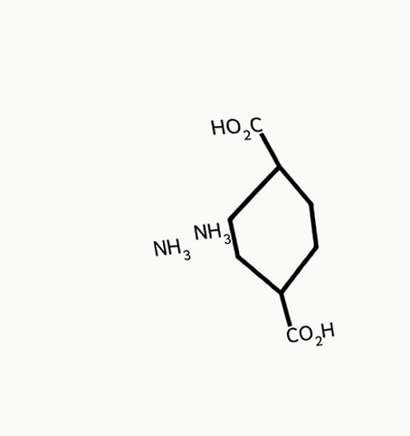 N.N.O=C(O)C1CCC(C(=O)O)CC1